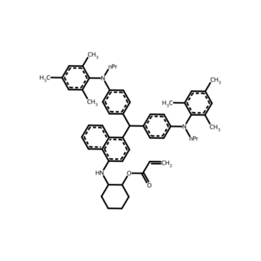 C=CC(=O)OC1CCCCC1Nc1ccc(C(c2ccc(N(CCC)c3c(C)cc(C)cc3C)cc2)c2ccc(N(CCC)c3c(C)cc(C)cc3C)cc2)c2ccccc12